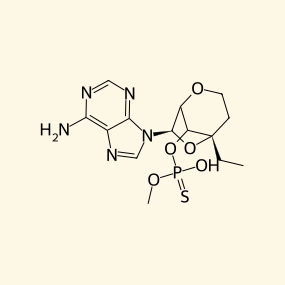 CC[C@]12CCOC(C1OP(O)(=S)OC)[C@H](n1cnc3c(N)ncnc31)O2